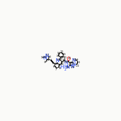 Cc1c(C#Cc2cccc3cc([C@@H](C)NC(=O)c4c(N)nn5cccnc45)c(-c4ccccc4)nc23)cnn1C